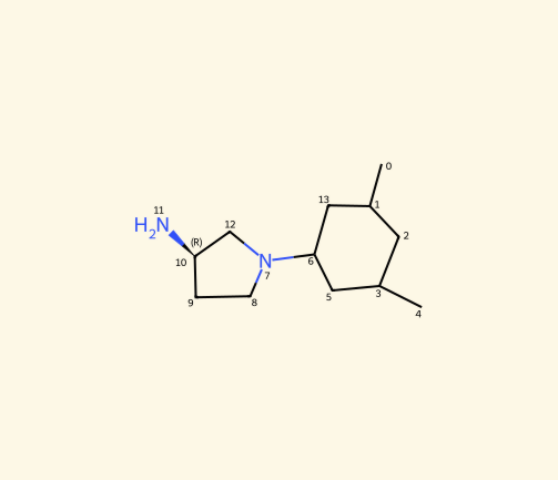 CC1CC(C)CC(N2CC[C@@H](N)C2)C1